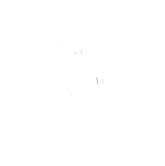 O=C([O-])CCSc1ccccc1.[Li+]